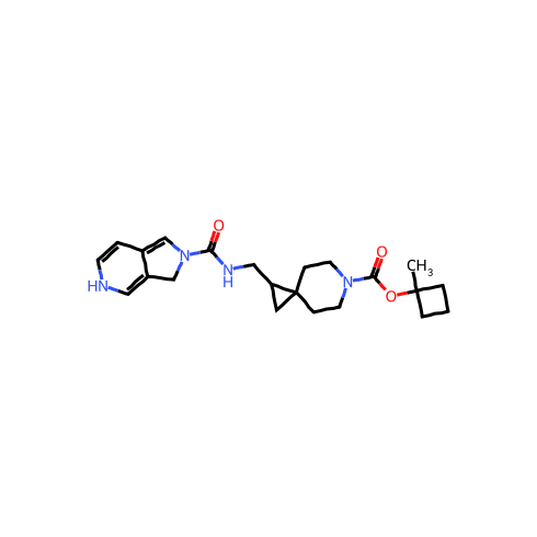 CC1(OC(=O)N2CCC3(CC2)CC3CNC(=O)N2C=C3C=CNC=C3C2)CCC1